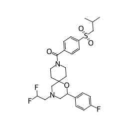 CC(C)CS(=O)(=O)c1ccc(C(=O)N2CCC3(CC2)CN(CC(F)F)CC(c2ccc(F)cc2)O3)cc1